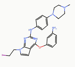 CN1CCN(c2ccc(Nc3nc(Oc4cccc(N)c4)c4ccn(CCI)c4n3)cc2)CC1